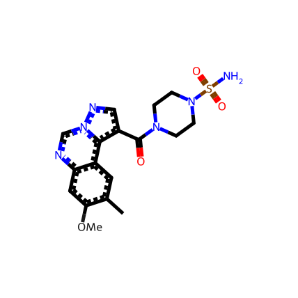 COc1cc2ncn3ncc(C(=O)N4CCN(S(N)(=O)=O)CC4)c3c2cc1C